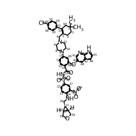 CC1(C)CCC(CN2CCN(c3ccc(C(=O)NS(=O)(=O)c4ccc(NC[C@H]5[C@H]6COC[C@@H]56)c([N+](=O)[O-])c4)c(Oc4cnc5[nH]ccc5c4)c3)CC2)=C(c2ccc(Cl)cc2)C1